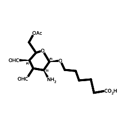 CC(=O)OCC1O[C@@H](OCCCCCC(=O)O)[C@@H](N)C(C=O)[C@H]1C=O